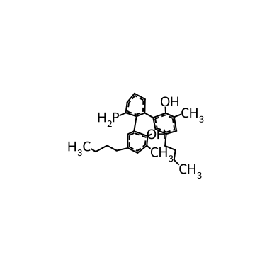 CCCCc1cc(C)c(O)c(-c2cccc(P)c2-c2cc(CCCC)cc(C)c2O)c1